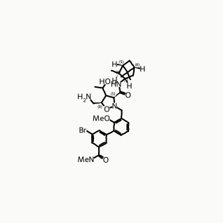 CNC(=O)c1cc(Br)cc(-c2cccc(CN3O[C@@H](CN)C(C(C)O)[C@H]3C(=O)N[C@H]3C[C@H]4C[C@@H]([C@@H]3C)C4(C)C)c2OC)c1